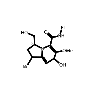 CCNC(=O)C1=C(OC)C(O)C=C2C(Br)C[C@@H](CO)N21